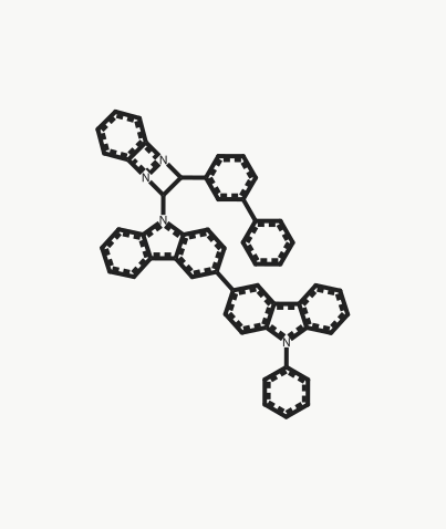 c1ccc(-c2cccc(C3C(n4c5ccccc5c5cc(-c6ccc7c(c6)c6ccccc6n7-c6ccccc6)ccc54)n4c5ccccc5n43)c2)cc1